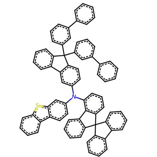 c1ccc(-c2cccc(C3(c4cccc(-c5ccccc5)c4)c4ccccc4-c4cc(N(c5ccc6c(c5)sc5ccccc56)c5cccc6c5-c5ccccc5C65c6ccccc6-c6ccccc65)ccc43)c2)cc1